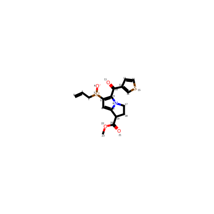 C=CC[S+]([O-])c1cc2n(c1C(=O)c1ccsc1)CCC2C(=O)OC